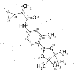 C=C(C(=O)Nc1ccc(B2OC(C)(C)C(C)(C)O2)c(C)c1)C1CC1